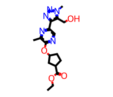 CCOC(=O)C1CCC(Oc2ncc(-c3nnn(C)c3CO)nc2C)C1